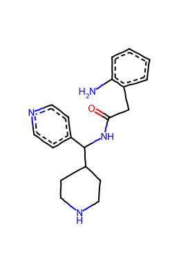 Nc1ccccc1CC(=O)NC(c1ccncc1)C1CCNCC1